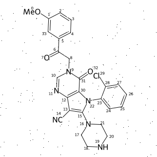 COc1cccc(C(=O)Cn2cnc3c(C#N)c(N4CCNCC4)n(-c4ccccc4Cl)c3c2=O)c1